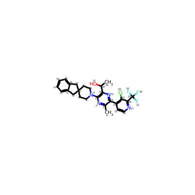 Cc1nc(N2CCC3(CC2)Cc2ccccc2C3)c(C(C)O)nc1-c1ccnc(C(F)(F)F)c1Cl